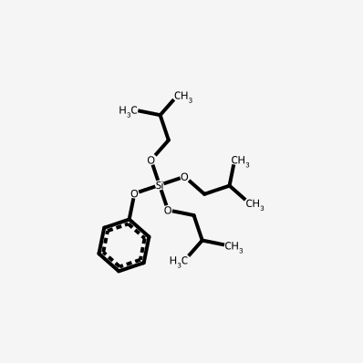 CC(C)CO[Si](OCC(C)C)(OCC(C)C)Oc1ccccc1